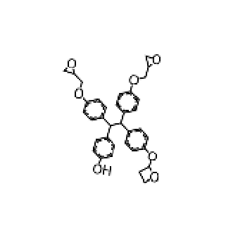 Oc1ccc(C(c2ccc(OCC3CO3)cc2)C(c2ccc(OCC3CO3)cc2)c2ccc(OC3CCO3)cc2)cc1